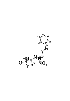 O=C1CSC(=N[N+](=CC=Cc2ccccc2)[N+](=O)[O-])N1